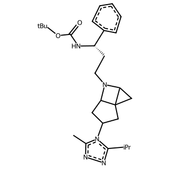 Cc1nnc(C(C)C)n1C1CC2N(CC[C@H](NC(=O)OC(C)(C)C)c3ccccc3)C3CC23C1